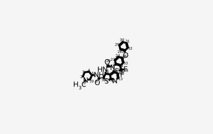 CN1CCCC(NC(=O)[C@@H]2Sc3nccc4c3C2NC(=O)N4c2ccc(Oc3ccccc3)cc2C(F)(F)F)C1